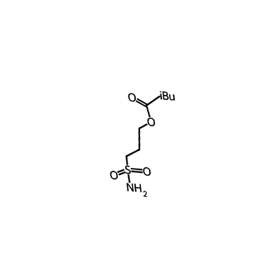 CCC(C)C(=O)OCCCS(N)(=O)=O